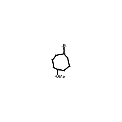 CCC1CCCC(OC)CCC1